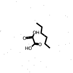 CCCCCC.O=C(O)C(=O)O